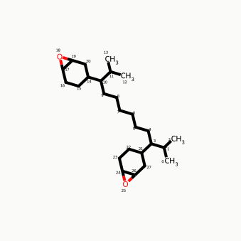 C[C](C)C(CCCCCCC([C](C)C)C1CCC2OC2C1)C1CCC2OC2C1